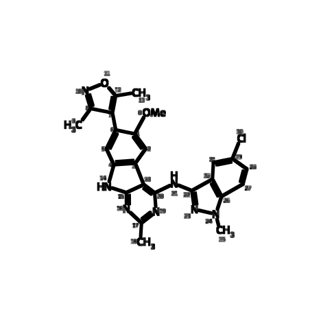 COc1cc2c(cc1-c1c(C)noc1C)[nH]c1nc(C)nc(Nc3nn(C)c4ccc(Cl)cc34)c12